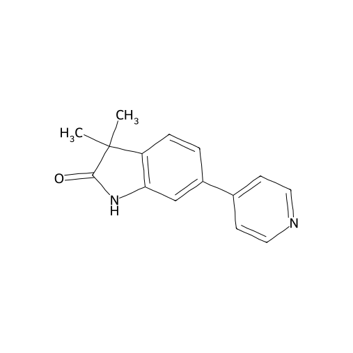 CC1(C)C(=O)Nc2cc(-c3ccncc3)ccc21